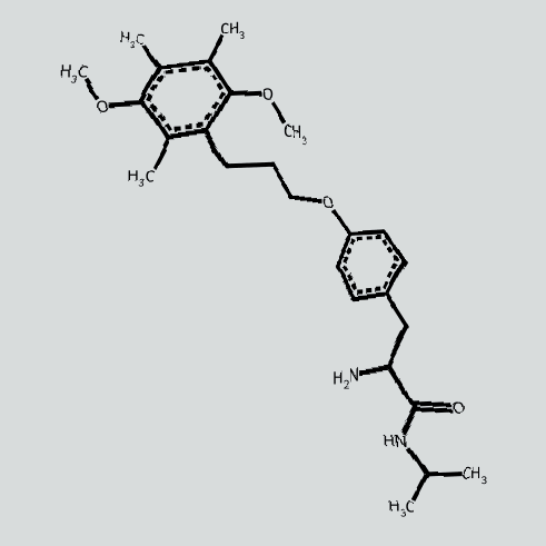 COc1c(C)c(C)c(OC)c(CCCOc2ccc(CC(N)C(=O)NC(C)C)cc2)c1C